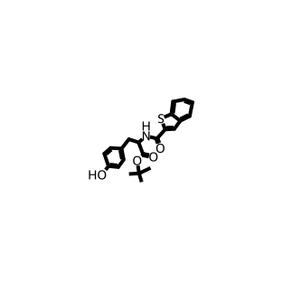 CC(C)(C)OC(=O)C(Cc1ccc(O)cc1)NC(=O)c1cc2ccccc2s1